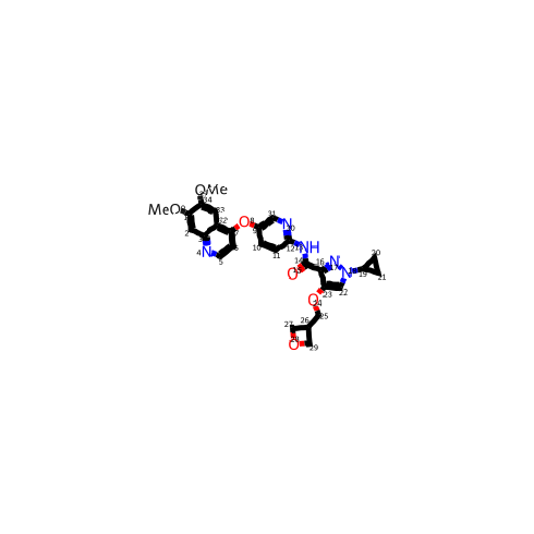 COc1cc2nccc(Oc3ccc(NC(=O)c4nn(C5CC5)cc4OCC4COC4)nc3)c2cc1OC